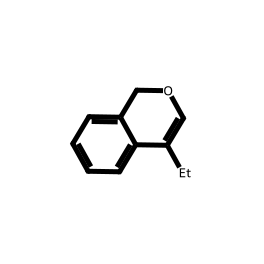 [CH2]CC1=COCc2ccccc21